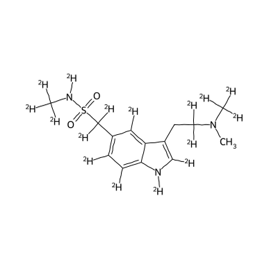 [2H]c1c(C([2H])([2H])S(=O)(=O)N([2H])C([2H])([2H])[2H])c([2H])c2c(CC([2H])([2H])N(C)C([2H])([2H])[2H])c([2H])n([2H])c2c1[2H]